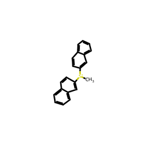 C[S+](c1ccc2ccccc2c1)c1ccc2ccccc2c1